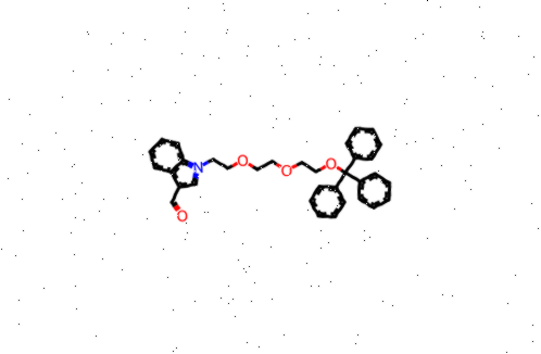 O=Cc1cn(CCOCCOCCOC(c2ccccc2)(c2ccccc2)c2ccccc2)c2ccccc12